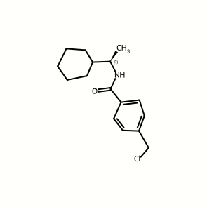 C[C@@H](NC(=O)c1ccc(CCl)cc1)C1CCCCC1